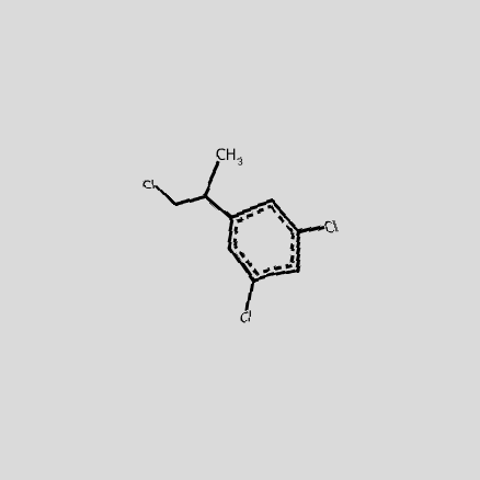 CC(CCl)c1cc(Cl)cc(Cl)c1